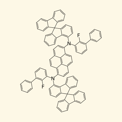 Fc1c(-c2ccccc2)cccc1N(c1cccc2c1-c1ccccc1C21c2ccccc2-c2ccccc21)c1ccc2ccc3c(N(c4cccc(-c5ccccc5)c4F)c4cccc5c4-c4ccccc4C54c5ccccc5-c5ccccc54)ccc4ccc1c2c43